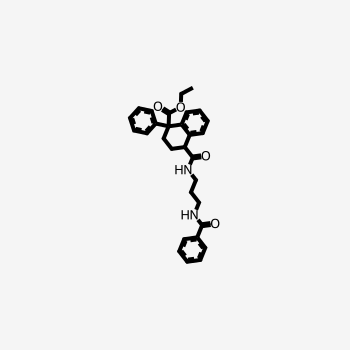 CCOC(=O)C1(c2ccccc2)CCC(C(=O)NCCCNC(=O)c2ccccc2)c2ccccc21